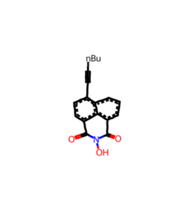 CCCCC#Cc1ccc2c3c(cccc13)C(=O)N(O)C2=O